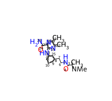 CN[C@@H](C)C(=O)NCCc1cccc(Nc2nc(C)c(C)nc2C(N)=O)c1